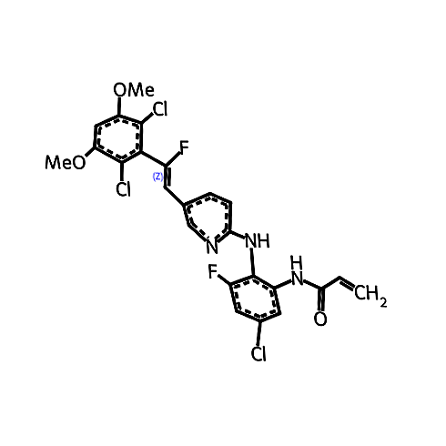 C=CC(=O)Nc1cc(Cl)cc(F)c1Nc1ccc(/C=C(\F)c2c(Cl)c(OC)cc(OC)c2Cl)cn1